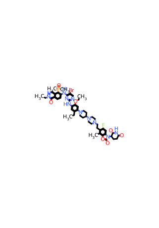 CCOc1cc(N2CCC(N3CCN(CCc4c(F)cc5c(oc(=O)n5C5CCC(=O)NC5=O)c4C)CC3)CC2)c(CC)cc1Nc1ncc(Br)c(Nc2ccc3c(=O)n(CC)ncc3c2P(C)(C)=O)n1